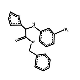 O=C(NCc1ccccc1)C(Nc1cccc(C(F)(F)F)c1)c1cccs1